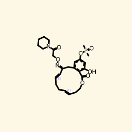 CP(C)(=O)Oc1cc(O)c2c(c1)CC(=NOCC(=O)N1CCCCC1)/C=C/CC/C=C/CCOC2=O